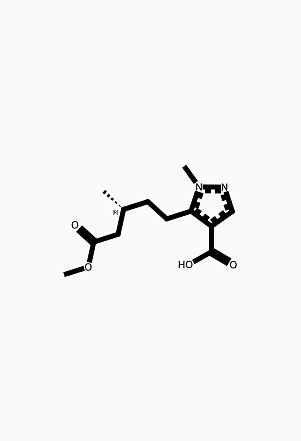 COC(=O)C[C@H](C)CCc1c(C(=O)O)cnn1C